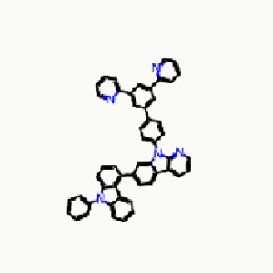 c1ccc(-n2c3ccccc3c3c(-c4ccc5c6cccnc6n(-c6ccc(-c7cc(-c8ccccn8)cc(-c8ccccn8)c7)cc6)c5c4)cccc32)cc1